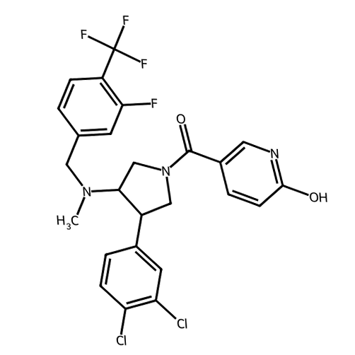 CN(Cc1ccc(C(F)(F)F)c(F)c1)C1CN(C(=O)c2ccc(O)nc2)CC1c1ccc(Cl)c(Cl)c1